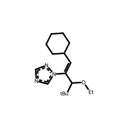 CCOC(C(=CC1CCCCC1)n1cncn1)C(C)(C)C